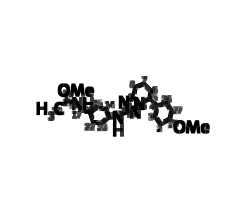 COc1ccc(-c2cccc3nc(Nc4ccc(CNC(C)OC)cc4)nn23)cc1